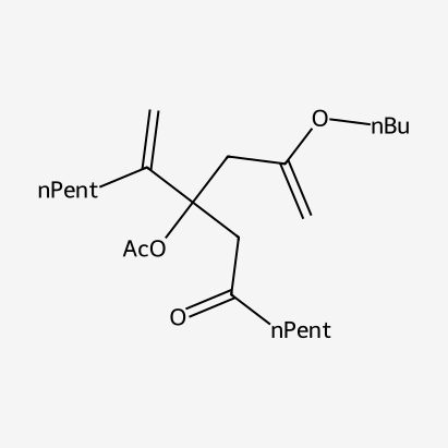 C=C(CC(CC(=O)CCCCC)(OC(C)=O)C(=C)CCCCC)OCCCC